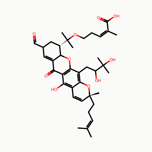 CC(C)=CCC[C@]1(C)C=Cc2c(O)c3c(c(CC(O)C(C)(C)O)c2O1)OC1C(=CC(C=O)C[C@@H]1C(C)(C)OCC/C=C(/C)C(=O)O)C3=O